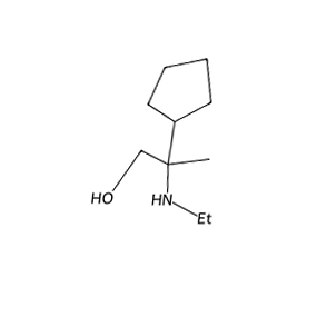 CCNC(C)(CO)C1CCCC1